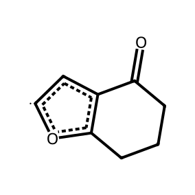 O=C1CCCc2o[c]cc21